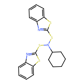 c1ccc2sc(SN(Sc3nc4ccccc4s3)C3CCCCC3)nc2c1